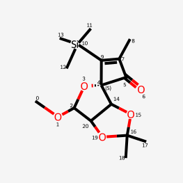 COC1O[C@]2(C(=O)C(C)=C2[Si](C)(C)C)C2OC(C)(C)OC12